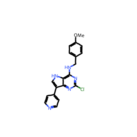 COc1ccc(CNc2nc(Cl)nc3c(-c4ccncc4)c[nH]c23)cc1